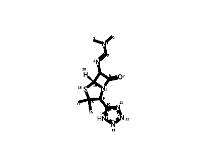 CN(C)C=NC1C(=O)N2C(c3nnn[nH]3)C(C)(C)S[C@H]12